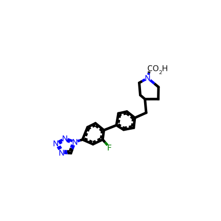 O=C(O)N1CCC(Cc2ccc(-c3ccc(-n4cnnn4)cc3F)cc2)CC1